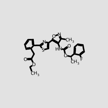 CCOC(=O)Cc1ccccc1-c1nc(-c2onc(C)c2NC(=O)O[C@H](C)c2ccccc2F)cs1